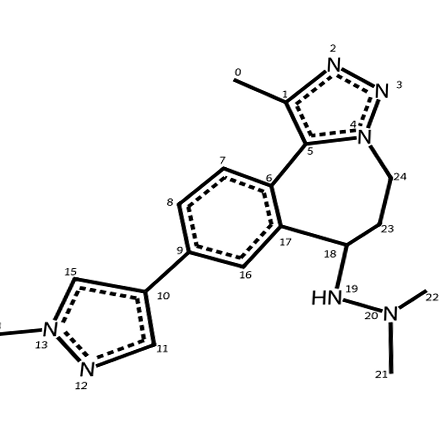 Cc1nnn2c1-c1ccc(-c3cnn(C)c3)cc1C(NN(C)C)CC2